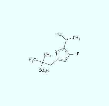 CC(O)c1sc(CC(C)(C)C(=O)O)cc1F